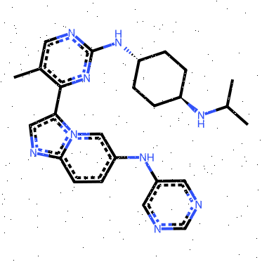 Cc1cnc(N[C@H]2CC[C@H](NC(C)C)CC2)nc1-c1cnc2ccc(Nc3cncnc3)cn12